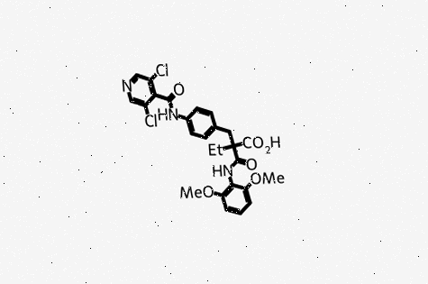 CCC(Cc1ccc(NC(=O)c2c(Cl)cncc2Cl)cc1)(C(=O)O)C(=O)Nc1c(OC)cccc1OC